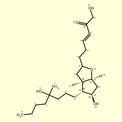 CCCCC(C)(O)CCC[C@@H]1[C@H]2CC(CCC=CC(=O)CO)O[C@H]2C[C@H]1O